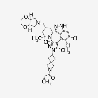 C=CC(=O)N1CC2(CC(n3nc(N4CCC(CN5C[C@@H]6OCCO[C@@H]6C5)CC4(C)C)c(-c4c(Cl)c(Cl)cc5[nH]ncc45)c3C)C2)C1